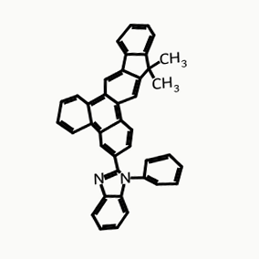 CC1(C)c2ccccc2-c2cc3c4ccccc4c4cc(-c5nc6ccccc6n5-c5ccccc5)ccc4c3cc21